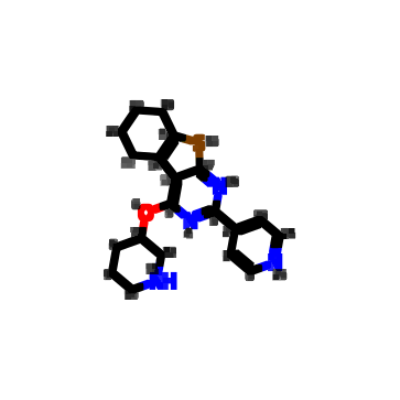 c1cc(-c2nc(OC3CCCNC3)c3c4c(sc3n2)CCCC4)ccn1